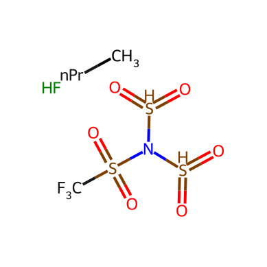 CCCC.F.O=[SH](=O)N([SH](=O)=O)S(=O)(=O)C(F)(F)F